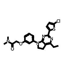 CCc1nc(-c2ccc(Cl)s2)nc2c1CCN2c1cccc(OCC(=O)N(C)C)c1